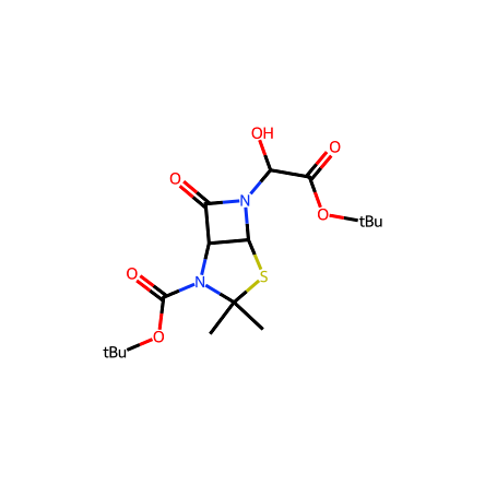 CC(C)(C)OC(=O)C(O)N1C(=O)C2C1SC(C)(C)N2C(=O)OC(C)(C)C